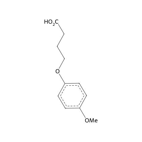 COc1ccc(OCCCC(=O)O)cc1